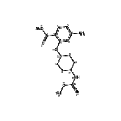 COC(=O)c1ccc(C)cc1OC1CCC(NC(=O)OC(C)(C)C)CC1